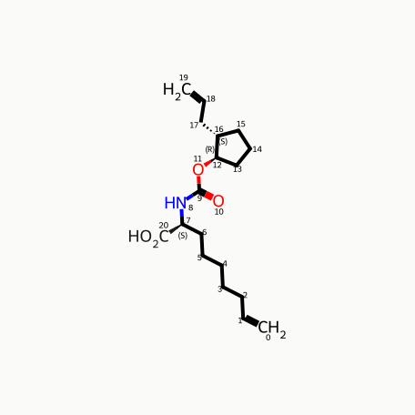 C=CCCCCC[C@H](NC(=O)O[C@@H]1CCC[C@H]1CC=C)C(=O)O